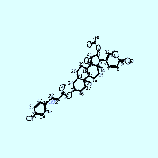 CC(=O)OC1C(c2ccc(=O)oc2)C2(C)CCC3C(CCC4CC(OC(=O)/C=C/c5ccc(Cl)cc5)CCC43C)C23OC13